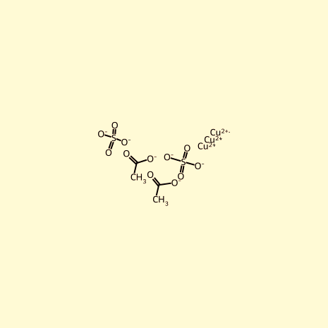 CC(=O)[O-].CC(=O)[O-].O=S(=O)([O-])[O-].O=S(=O)([O-])[O-].[Cu+2].[Cu+2].[Cu+2]